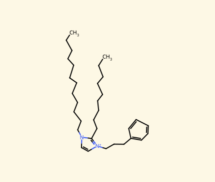 CCCCCCCCCCCCn1cc[n+](CCCc2ccccc2)c1CCCCCCCCC